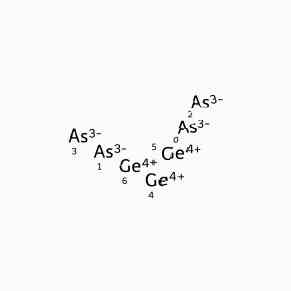 [As-3].[As-3].[As-3].[As-3].[Ge+4].[Ge+4].[Ge+4]